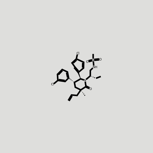 C=CC[C@@]1(C)C[C@H](c2cccc(Cl)c2)[C@@H](c2ccc(Cl)cc2)N([C@@H](CC)CNS(C)(=O)=O)C1=O